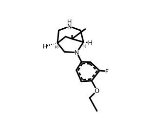 CCOc1ccc(N2C[C@H]3CNC[C@@H]2C(C)(C)C3)cc1F